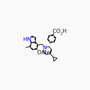 COc1cc(C)c2[nH]ccc2c1CN1CCC(C2CC2)=C[C@H]1c1ccc(C(=O)O)cc1